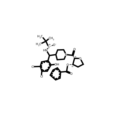 CC(C)(C)[S@+]([O-])NC(c1cc(Cl)c(Cl)cc1O)C1CCN(C(=O)[C@@H]2OCC[C@@H]2OC(=O)c2ccccc2)CC1